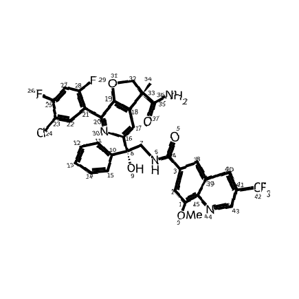 COc1cc(C(=O)NC[C@@](O)(c2ccccc2)c2cc3c(c(-c4cc(Cl)c(F)cc4F)n2)OC[C@]3(C)C(N)=O)cc2cc(C(F)(F)F)cnc12